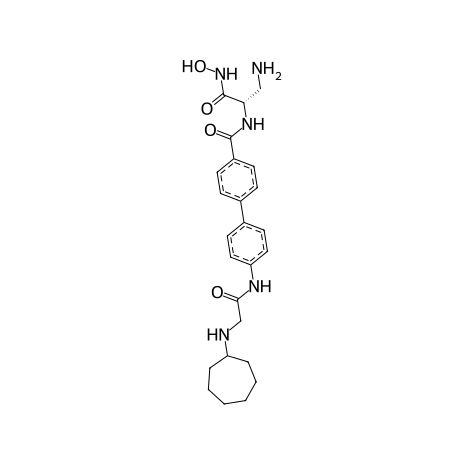 NC[C@H](NC(=O)c1ccc(-c2ccc(NC(=O)CNC3CCCCCC3)cc2)cc1)C(=O)NO